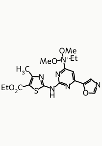 CCOC(=O)c1sc(Nc2nc(-c3cnco3)cc([N+](CC)(OC)OC)n2)nc1C